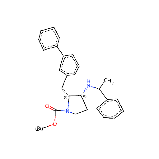 CC(N[C@@H]1CCN(C(=O)OC(C)(C)C)[C@@H]1Cc1cccc(-c2ccccc2)c1)c1ccccc1